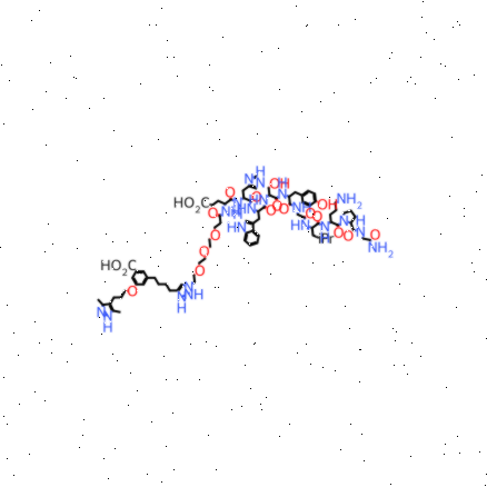 Cc1n[nH]c(C)c1CCCOc1cc(CCCCC2=CN(CCOCCOCCOCCC(=O)NC(CCC(=O)O)C(=O)NC(Cc3c[nH]cn3)C(=O)NC(Cc3c[nH]c4ccccc34)C(=O)NC(CO)C(=O)NC(Cc3ccc(O)cc3)C(=O)NCC(=O)NC(CC(C)C)C(=O)NC(CCCN)C(=O)N3CCCC3C(=O)NCC(N)=O)NN2)cc(C(=O)O)c1